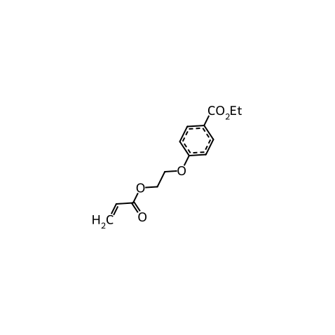 C=CC(=O)OCCOc1ccc(C(=O)OCC)cc1